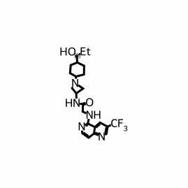 CC[C@H](O)C1CCC(N2CC(NC(=O)CNc3nccc4ncc(C(F)(F)F)cc34)C2)CC1